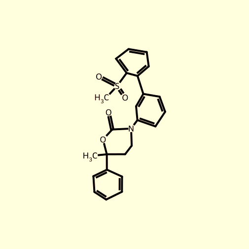 CC1(c2ccccc2)CCN(c2cccc(-c3ccccc3S(C)(=O)=O)c2)C(=O)O1